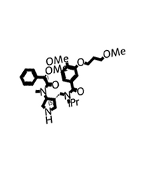 COCCCOc1cc(C(=O)N(C[C@@H]2CNCC2N(C)C(=O)[C@@H](OC)c2ccccc2)C(C)C)ccc1OC